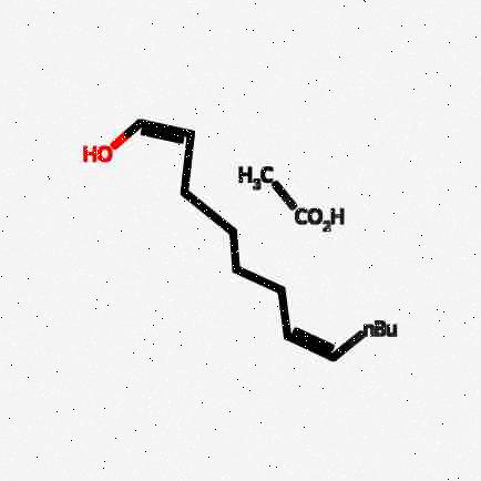 CC(=O)O.CCCC/C=C\CCCC/C=C\O